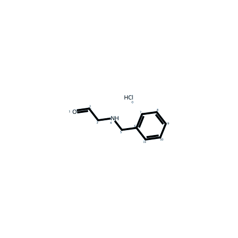 Cl.O=[C]CNCc1ccccc1